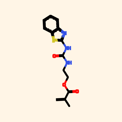 C=C(C)C(=O)OCCNC(=O)Nc1nc2ccccc2s1